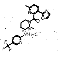 Cc1ccc(-c2ncco2)c(C(=O)N2CCC[C@@H](Nc3ccc(C(F)(F)F)cn3)[C@@H]2C)n1.Cl